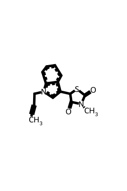 CC#CCn1cc(C2SC(=O)N(C)C2=O)c2ccccc21